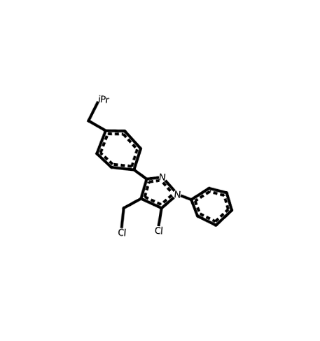 CC(C)Cc1ccc(-c2nn(-c3ccccc3)c(Cl)c2CCl)cc1